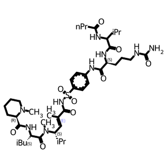 CCCC(=O)NC(C(=O)N[C@@H](CCCNC(N)=O)C(=O)Nc1ccc(S(=O)(=O)NC(=O)/C(C)=C/[C@H](C(C)C)N(C)C(=O)C(NC(=O)[C@H]2CCCCN2C)[C@@H](C)CC)cc1)C(C)C